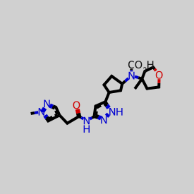 Cn1cc(CC(=O)Nc2cc(C3CCC(N(C(=O)O)C4(C)CCOCC4)C3)[nH]n2)cn1